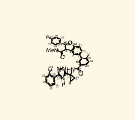 CNC(=O)C1c2cc(-c3cc(C(=O)NC4(c5nnc(-c6ccccc6Cl)[nH]5)CC4)ccc3C)ccc2OC1c1ccc(F)cc1